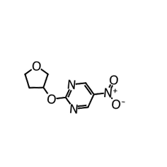 O=[N+]([O-])c1cnc(OC2CCOC2)nc1